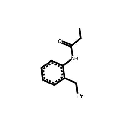 CC(C)Cc1ccccc1NC(=O)CI